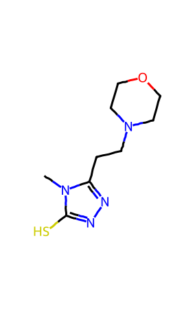 Cn1c(S)nnc1CCN1CCOCC1